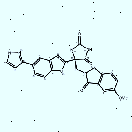 COc1ccc2c(c1)C(=O)N(C[C@@]1(c3cc4cc(-c5cc[nH]n5)ccc4o3)NC(=O)NC1=O)C2